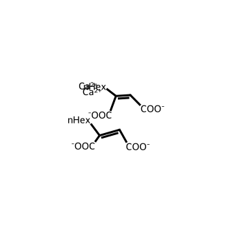 CCCCCCC(=CC(=O)[O-])C(=O)[O-].CCCCCCC(=CC(=O)[O-])C(=O)[O-].[Ca+2].[Ca+2]